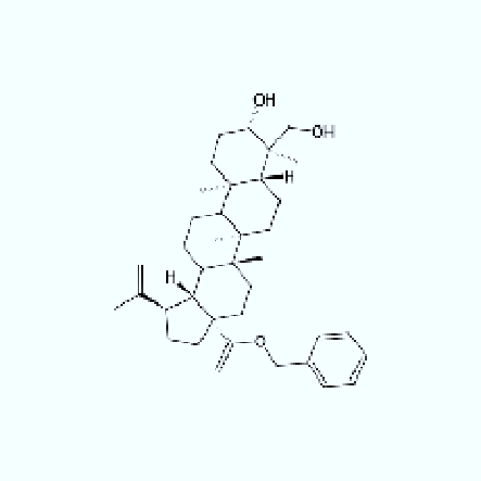 C=C(C)[C@@H]1CC[C@]2(C(=C)OCc3ccccc3)CC[C@]3(C)C(CCC4[C@@]5(C)CC[C@H](O)[C@@](C)(CO)[C@@H]5CC[C@]43C)[C@@H]12